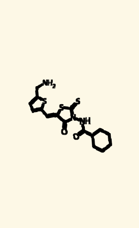 NCc1ccc(C=C2SC(=S)N(NC(=O)C3CCCCC3)C2=O)s1